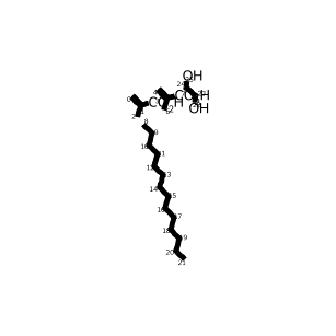 C=C(C)C(=O)O.C=C(C)C(=O)O.CCCCCCCCCCCCCC.OCCO